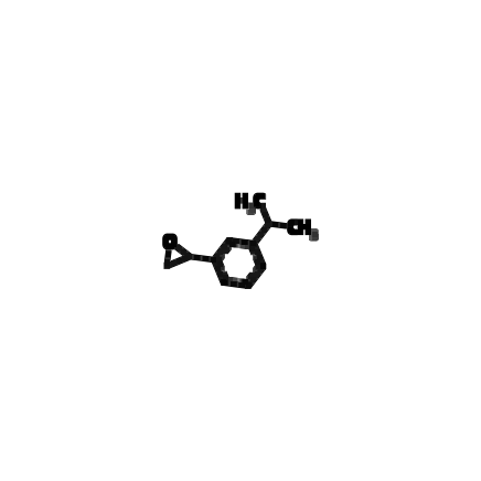 CC(C)c1cccc(C2CO2)c1